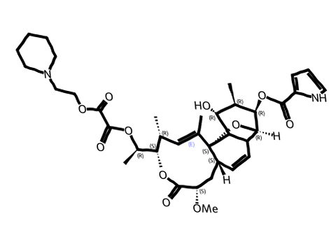 CO[C@H]1C[C@H]2C=CC3C4[C@H](O)[C@@H](C)[C@@H](OC(=O)c5ccc[nH]5)[C@@H]3O[C@]42/C(C)=C/[C@@H](C)[C@@H]([C@@H](C)OC(=O)C(=O)OCCN2CCCCC2)OC1=O